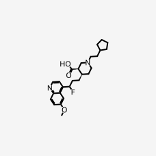 COc1ccc2nccc(C(F)CC[C@@H]3CCN(CCC4CCCC4)C[C@@H]3C(=O)O)c2c1